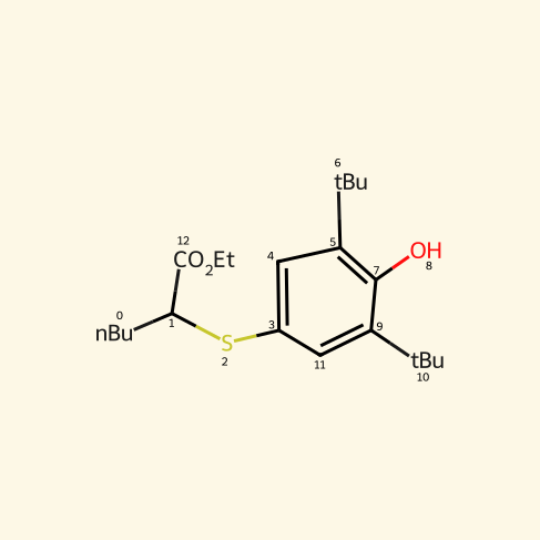 CCCCC(Sc1cc(C(C)(C)C)c(O)c(C(C)(C)C)c1)C(=O)OCC